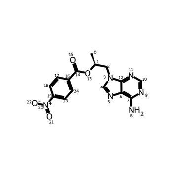 C[C@@H](Cn1cnc2c(N)ncnc21)OC(=O)c1ccc([N+](=O)[O-])cc1